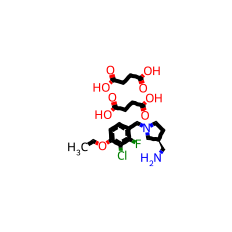 CCOc1ccc(CN2CC[C@@H](CN)C2)c(F)c1Cl.O=C(O)CCC(=O)O.O=C(O)CCC(=O)O